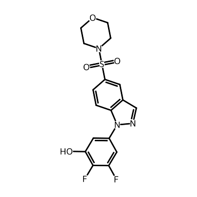 O=S(=O)(c1ccc2c(cnn2-c2cc(O)c(F)c(F)c2)c1)N1CCOCC1